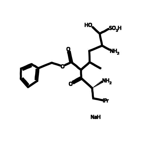 CC(C)C[C@@H](N)C(=O)C(C(=O)OCc1ccccc1)C(C)CC(N)C(O)S(=O)(=O)O.[NaH]